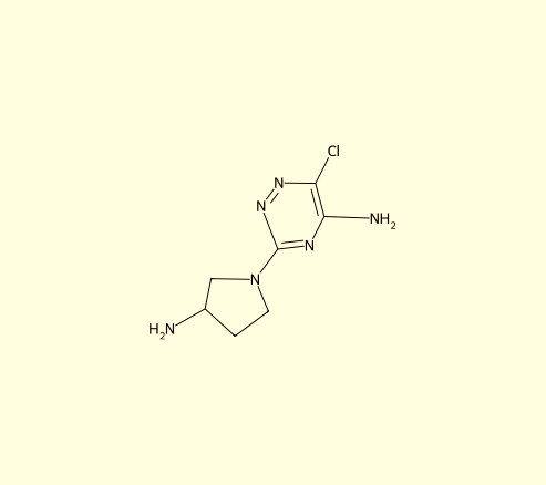 Nc1nc(N2CCC(N)C2)nnc1Cl